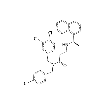 C[C@@H](NCCC(=O)N(Cc1ccc(Cl)cc1)Cc1ccc(Cl)c(Cl)c1)c1cccc2ccccc12